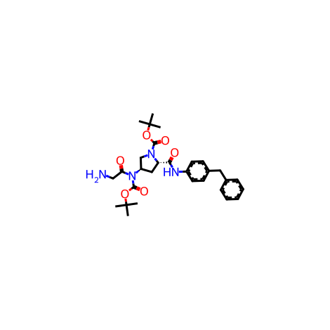 CC(C)(C)OC(=O)N1C[C@H](N(C(=O)CN)C(=O)OC(C)(C)C)C[C@H]1C(=O)Nc1ccc(Cc2ccccc2)cc1